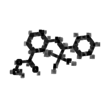 COC(=O)c1ccnc(N=C(c2ccccc2)C(F)(F)F)c1